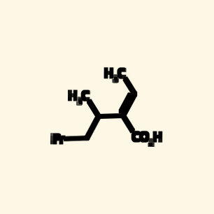 CC=C(C(=O)O)C(C)CC(C)C